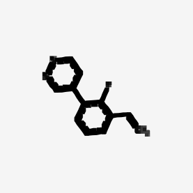 C=Cc1cccc(-c2ccnnc2)c1F